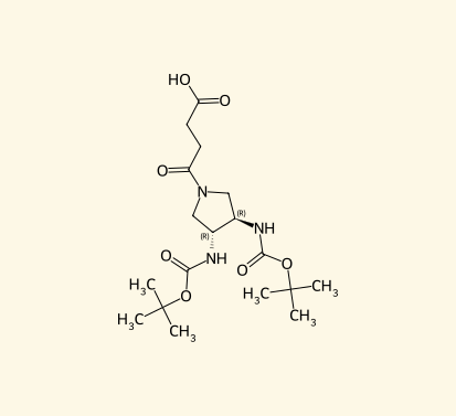 CC(C)(C)OC(=O)N[C@@H]1CN(C(=O)CCC(=O)O)C[C@H]1NC(=O)OC(C)(C)C